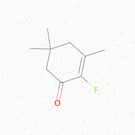 CC1=C(F)C(=O)CC(C)(C)C1